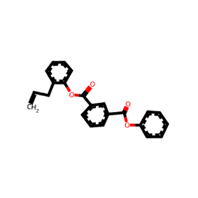 C=CCc1ccccc1OC(=O)c1cccc(C(=O)Oc2ccccc2)c1